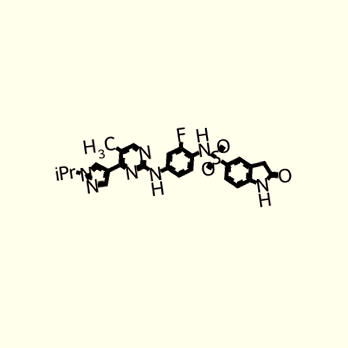 Cc1cnc(Nc2ccc(NS(=O)(=O)c3ccc4c(c3)CC(=O)N4)c(F)c2)nc1-c1cnn(C(C)C)c1